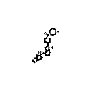 CN1CCCN(C(=O)N2CC=C(C3Cc4c(Nc5ccc6ncsc6c5)ccnc4N3)CC2)CC1